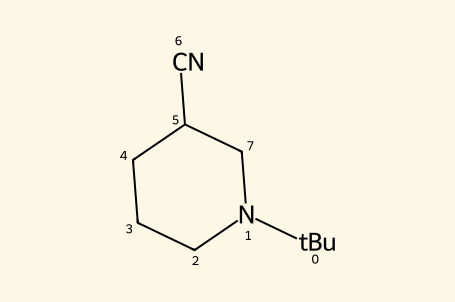 CC(C)(C)N1CCCC(C#N)C1